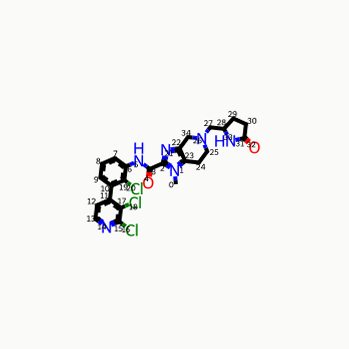 Cn1c(C(=O)Nc2cccc(-c3ccnc(Cl)c3Cl)c2Cl)nc2c1CCN(CC1CCC(=O)N1)C2